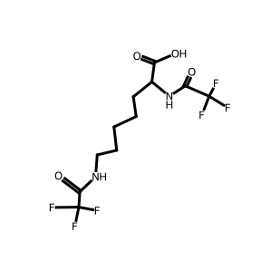 O=C(O)C(CCCCCNC(=O)C(F)(F)F)NC(=O)C(F)(F)F